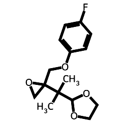 CC(C)(C1OCCO1)C1(COc2ccc(F)cc2)CO1